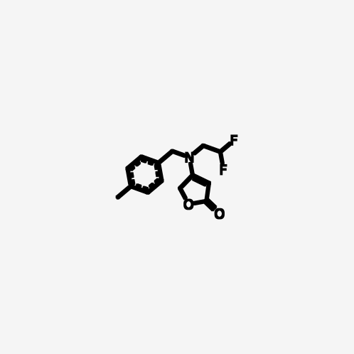 Cc1ccc(CN(CC(F)F)C2=CC(=O)OC2)cc1